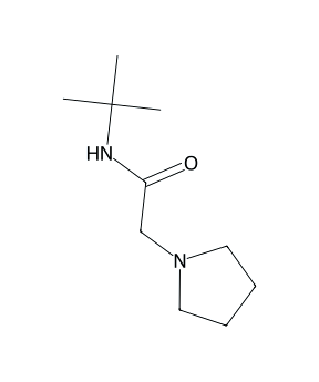 CC(C)(C)NC(=O)CN1CCCC1